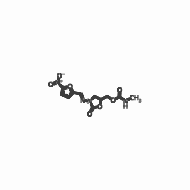 CNC(=O)OCC1CN(N=Cc2ccc([N+](=O)[O-])o2)C(=O)O1